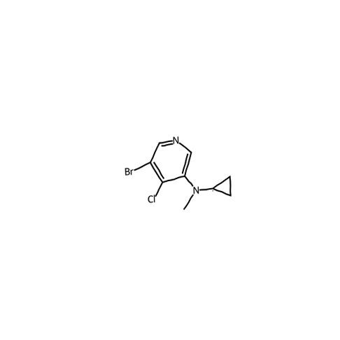 CN([C]1CC1)c1cncc(Br)c1Cl